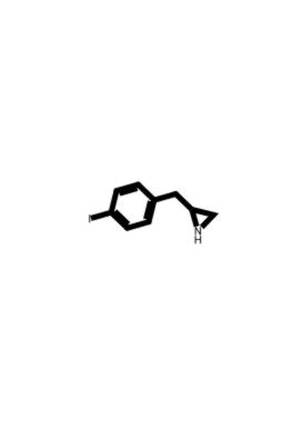 Ic1ccc(CC2CN2)cc1